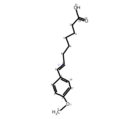 COc1ccc(/C=C/CCCCCC(=O)O)cc1